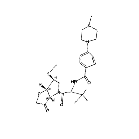 CS[C@H]1CN(C(=O)C(NC(=O)c2ccc(N3CCN(C)CC3)cc2)C(C)(C)C)[C@@H]2C(=O)CO[C@H]12